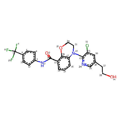 O=C(Nc1ccc(C(F)(F)F)cc1)c1cccc2c1OCCN2c1ncc(CCO)cc1Cl